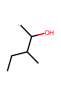 [CH2]C(O)C(C)CC